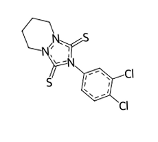 S=c1n(-c2ccc(Cl)c(Cl)c2)c(=S)n2n1CCCC2